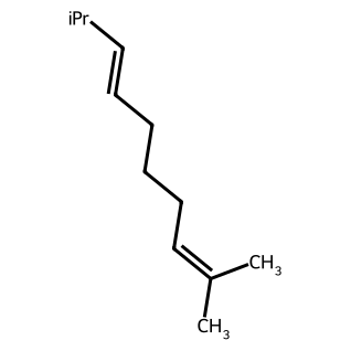 [CH2]C(C)C=CCCCC=C(C)C